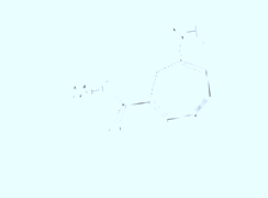 COC(=O)C1=CC=CC=C(N)C1